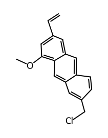 C=Cc1cc(OC)c2cc3cc(CCl)ccc3cc2c1